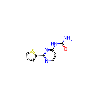 NC(=O)Nc1ccnc(-c2cccs2)n1